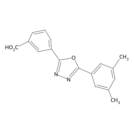 Cc1cc(C)cc(-c2nnc(-c3cccc(C(=O)O)c3)o2)c1